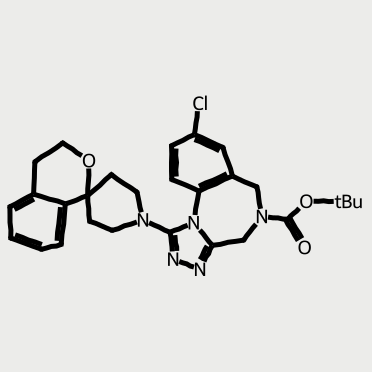 CC(C)(C)OC(=O)N1Cc2cc(Cl)ccc2-n2c(nnc2N2CCC3(CC2)OCCc2ccccc23)C1